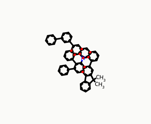 CC1(C)c2ccccc2-c2ccc(-c3ccccc3N(c3ccc(-c4cccc(-c5ccccc5)c4)cc3)c3cccc(-c4ccccc4)c3-c3ccccc3-c3ccccc3)cc21